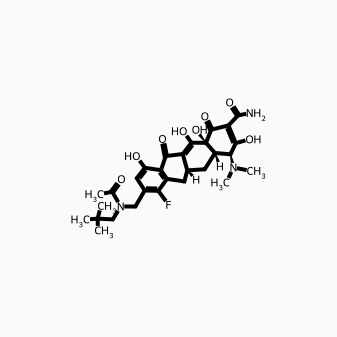 CC(=O)N(Cc1cc(O)c2c(c1F)C[C@H]1C[C@H]3[C@H](N(C)C)C(O)=C(C(N)=O)C(=O)[C@@]3(O)C(O)=C1C2=O)CC(C)(C)C